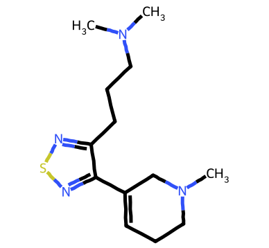 CN(C)CCCc1nsnc1C1=CCCN(C)C1